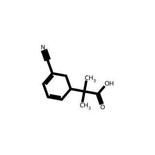 CC(C)(C(=O)O)C1C=CC=C(C#N)C1